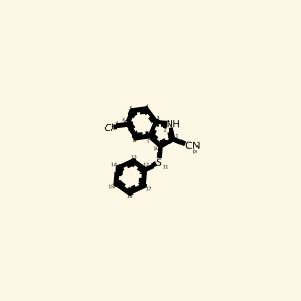 N#Cc1[nH]c2ccc(Cl)cc2c1Sc1ccccc1